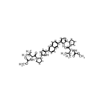 COC(=O)N[C@@H](C(=O)N1CCC[C@@H]1c1ncc(-c2ccc3cc(-c4cnc([C@H]5CCCN5C(=O)[C@H](NC(=O)OC)C(C)C)[nH]4)ccc3c2)[nH]1)C(C)C